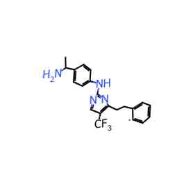 CC(N)c1ccc(Nc2ncc(C(F)(F)F)c(CCc3[c]cccc3)n2)cc1